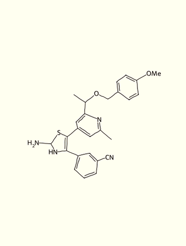 COc1ccc(COC(C)c2cc(C3=C(c4cccc(C#N)c4)NC(N)S3)cc(C)n2)cc1